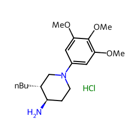 CCCC[C@@H]1CN(c2cc(OC)c(OC)c(OC)c2)CC[C@H]1N.Cl